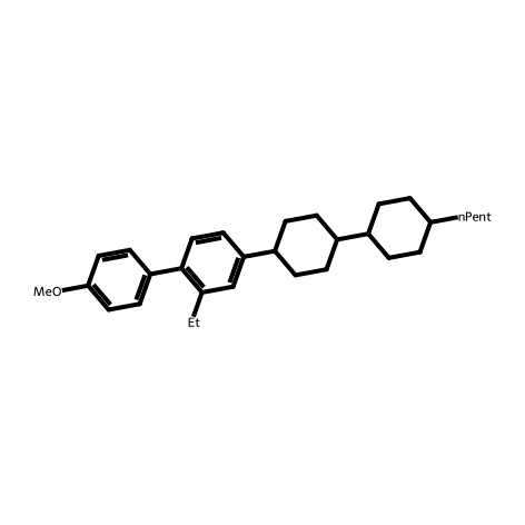 CCCCCC1CCC(C2CCC(c3ccc(-c4ccc(OC)cc4)c(CC)c3)CC2)CC1